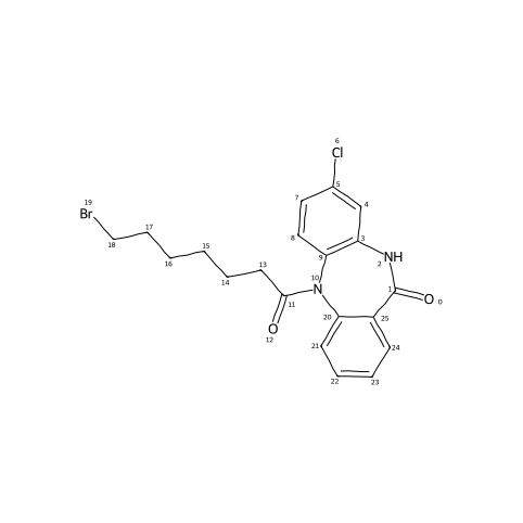 O=C1Nc2cc(Cl)ccc2N(C(=O)CCCCCCBr)c2ccccc21